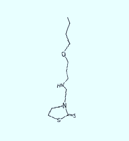 CCCCOCCCNCN1CCSC1=S